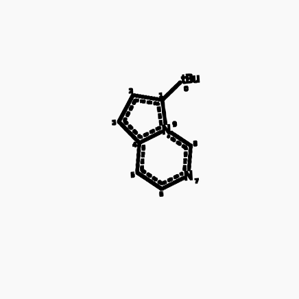 CC(C)(C)c1ccc2ccncn12